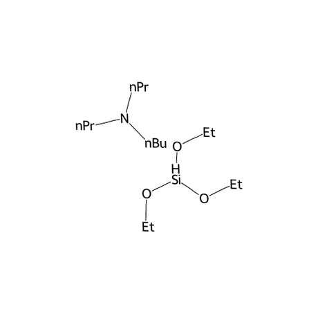 CCCCN(CCC)CCC.CCO[SiH](OCC)OCC